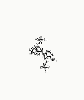 CC1(C)O[C@@H]2[C@H](O1)[C@@H](CO[Si](C)(C)C(C)(C)C)O[C@H]2n1nc(COS(C)(=O)=O)c2c(N)ncnc21